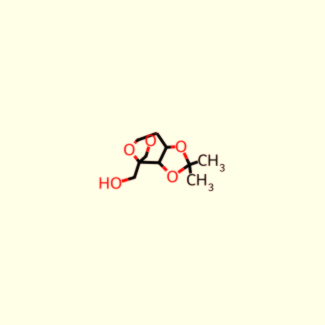 CC1(C)OC2C3COC(CO)(CO3)C2O1